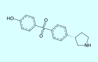 O=S(=O)(c1ccc(O)cc1)c1ccc([C@@H]2CCNC2)cc1